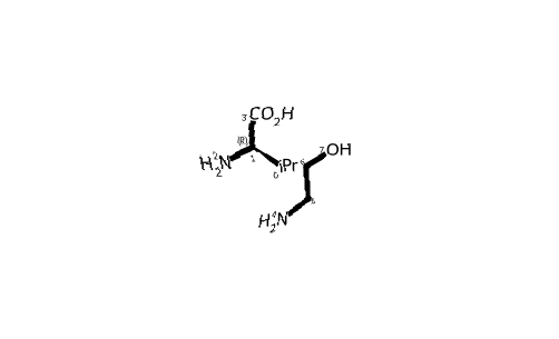 CC(C)[C@@H](N)C(=O)O.NCCO